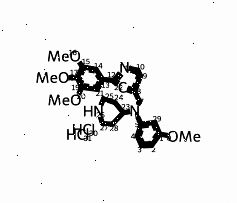 COc1cccc(N(Cc2ccnc(-c3cc(OC)c(OC)c(OC)c3)c2)C2CCNCC2)c1.Cl.Cl